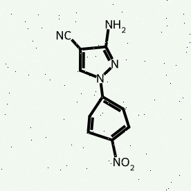 N#Cc1cn(-c2ccc([N+](=O)[O-])cc2)nc1N